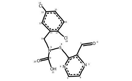 O=Cc1nccnc1SN(Cc1cc(Cl)ccc1Cl)C(=O)O